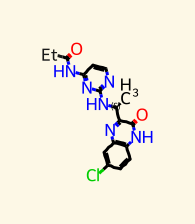 CCC(=O)Nc1ccnc(N[C@@H](C)c2nc3cc(Cl)ccc3[nH]c2=O)n1